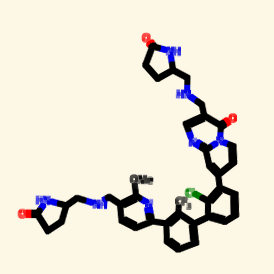 COc1nc(-c2cccc(-c3cccc(-c4ccn5c(=O)c(CNCC6CCC(=O)N6)cnc5c4)c3Cl)c2C(F)(F)F)ccc1CNCC1CCC(=O)N1